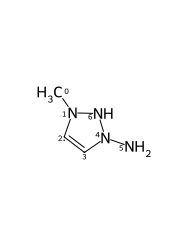 CN1[C]=CN(N)N1